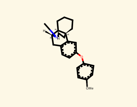 COc1ccc(Oc2ccc3c(c2)[C@@]24CCCC[C@H]2[C@@H](C3)N(C)CC4)cc1